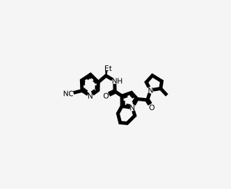 CC[C@@H](NC(=O)c1cc(C(=O)N2CCCC2C)n2c1CCCC2)c1ccc(C#N)nc1